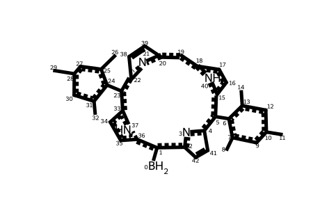 Bc1c2nc(c(-c3c(C)cc(C)cc3C)c3ccc(cc4nc(c(-c5c(C)cc(C)cc5C)c5ccc1[nH]5)C=C4)[nH]3)C=C2